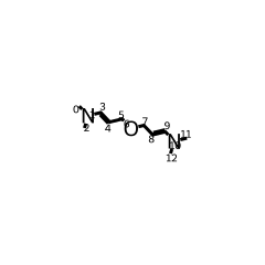 CN(C)C=CCOCC=CN(C)C